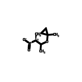 CC(OC1(C)CC1)[C@@H](C)[N+](=O)[O-]